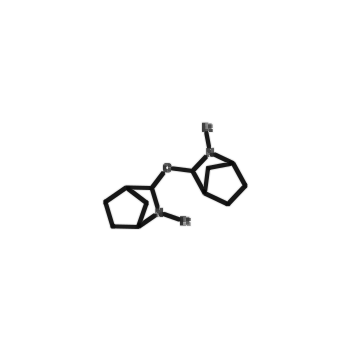 CCN1C2CCC(C2)C1OC1C2CCC(C2)N1CC